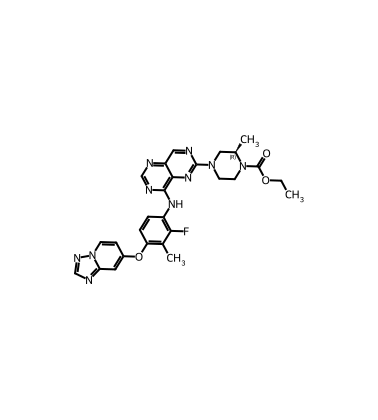 CCOC(=O)N1CCN(c2ncc3ncnc(Nc4ccc(Oc5ccn6ncnc6c5)c(C)c4F)c3n2)C[C@H]1C